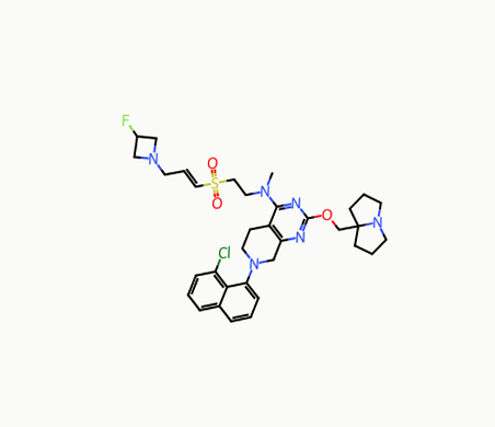 CN(CCS(=O)(=O)/C=C/CN1CC(F)C1)c1nc(OCC23CCCN2CCC3)nc2c1CCN(c1cccc3cccc(Cl)c13)C2